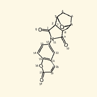 O=C1C2C3CCC(O3)C2C(=O)N1c1ccc2oc(=O)ccc2c1